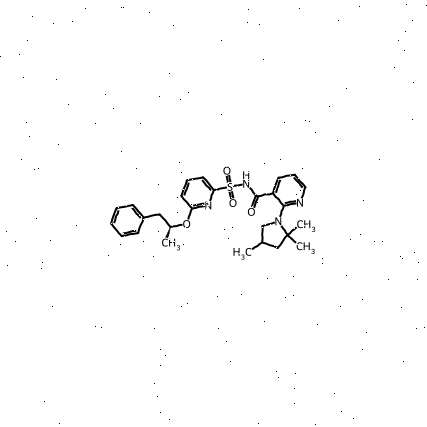 CC1CN(c2ncccc2C(=O)NS(=O)(=O)c2cccc(O[C@@H](C)Cc3ccccc3)n2)C(C)(C)C1